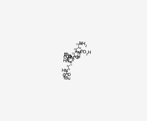 CC(C)(C)OC(=O)NCCC[C@@H](CNC(=O)C[C@H](CCCN)NC(=O)O)NC(=O)OC(C)(C)C